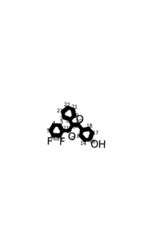 O=C(c1cccc(F)c1F)c1c(-c2ccc(O)cc2)oc2ccccc12